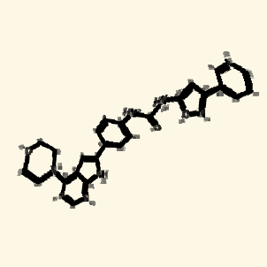 O=C(Nc1ccc(-c2cc3c(N4CCOCC4)ncnc3[nH]2)cc1)Nc1cc(-c2cccnc2)no1